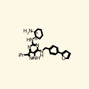 CC(C)c1n[nH]c2c(NCc3ccc(-c4ccco4)cc3)nc(N[C@@H]3CCCC[C@H]3N)nc12